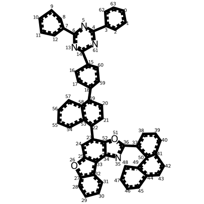 c1ccc(-c2nc(-c3ccccc3)nc(-c3ccc(-c4ccc(-c5cc6oc7ccccc7c6c6nc(-c7cccc8ccc9ccccc9c78)oc56)c5ccccc45)cc3)n2)cc1